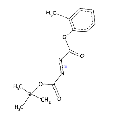 Cc1ccccc1OC(=O)/N=N/C(=O)O[Si](C)(C)C